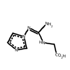 NC(=Nn1ccnc1)NCC(=O)O